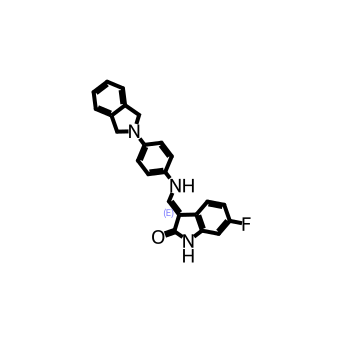 O=C1Nc2cc(F)ccc2/C1=C\Nc1ccc(N2Cc3ccccc3C2)cc1